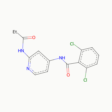 CCC(=O)Nc1cc(NC(=O)c2c(Cl)cccc2Cl)ccn1